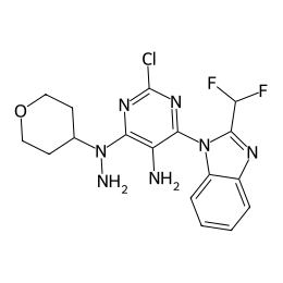 Nc1c(N(N)C2CCOCC2)nc(Cl)nc1-n1c(C(F)F)nc2ccccc21